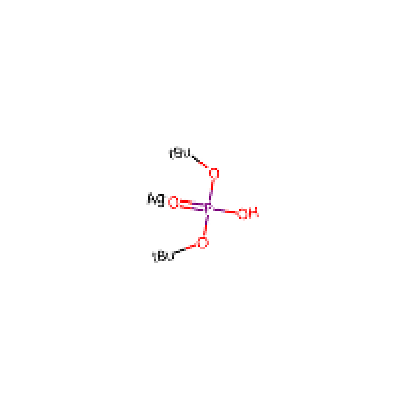 CC(C)(C)OP(=O)(O)OC(C)(C)C.[Ag]